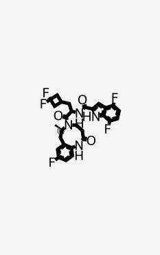 C[C@@H]1Cc2cc(F)ccc2NC(=O)CCN1C(=O)C(CC1CC(F)(F)C1)NC(=O)c1cc2c(F)ccc(F)c2[nH]1